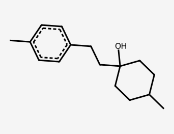 Cc1ccc(CCC2(O)CCC(C)CC2)cc1